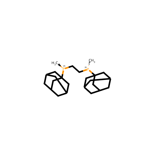 C[P@@](CC[P@](C)C12CC3CC(CC(C3)C1)C2)C12CC3CC(CC(C3)C1)C2